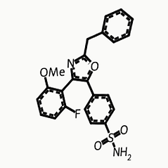 COc1cccc(F)c1-c1nc(Cc2ccccc2)oc1-c1ccc(S(N)(=O)=O)cc1